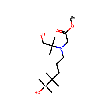 CC(C)(C)OC(=O)CN(CCCC(C)(C)[Si](C)(C)O)C(C)(C)CO